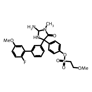 COCCS(=O)(=O)Oc1ccc(C2(c3cccc(-c4cc(OC)ccc4F)c3)NC(N)N(C)C2=O)cc1